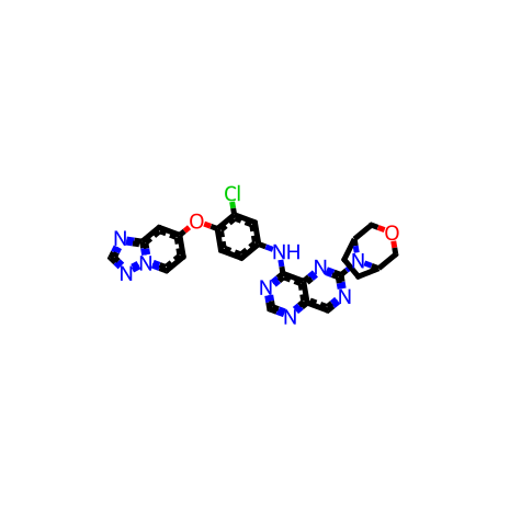 Clc1cc(Nc2ncnc3cnc(N4C5CCC4COC5)nc23)ccc1Oc1ccn2ncnc2c1